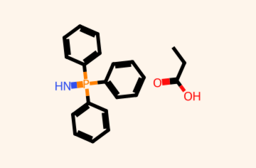 CCC(=O)O.N=P(c1ccccc1)(c1ccccc1)c1ccccc1